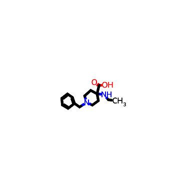 CCNC1(C(=O)O)CCN(Cc2ccccc2)CC1